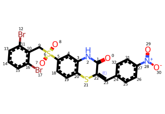 O=C1Nc2cc(S(=O)(=O)Cc3c(Br)cccc3Br)ccc2S/C1=C/c1ccc([N+](=O)[O-])cc1